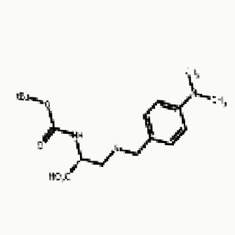 CN(C)c1ccc(CSC[C@H](NC(=O)OC(C)(C)C)C(=O)O)cc1